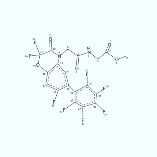 COC(=O)CNC(=O)CN1C(=O)C(F)(F)Oc2cc(F)c(-c3c(F)c(F)c(F)c(F)c3F)cc21